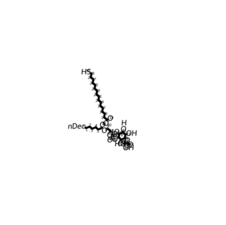 CCCCCCCCCCCCCCCC(=O)O[C@H](COC(=O)CCCCCCCCCCCCCCCCS)COP(=O)(O)OC1C(O)[C@@H](O)C(O)[C@@H](OP(=O)(O)O)[C@H]1O